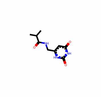 CC(C)C(=O)NCc1cc(=O)[nH]c(=O)[nH]1